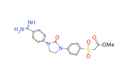 COC(=O)CS(=O)(=O)c1ccc(N2CCN(c3ccc(C(=N)N)cc3)C2=O)cc1